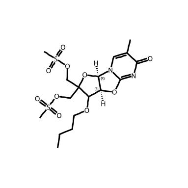 CCCCOC1[C@@H]2Oc3nc(=O)c(C)cn3[C@@H]2OC1(COS(C)(=O)=O)COS(C)(=O)=O